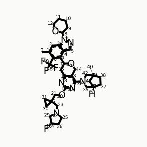 Cc1cc2c(cnn2C2CCCCO2)c(C2Cc3nc(OCC4(CN5CC[C@@H](F)C5)CC4)nc(N4C[C@H]5CC[C@@](C)(C5)C4)c3CO2)c1C(F)(F)F